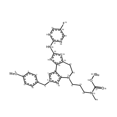 COc1ccc(Cn2cc3c(n2)N(CCCN(C)C(=O)OC(C)(C)C)CCc2sc(Nc4ncc(F)cn4)nc2-3)cc1